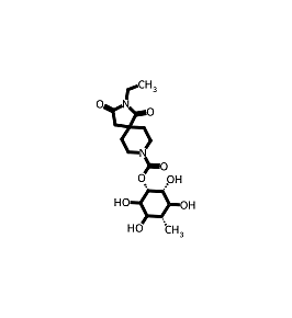 CCN1C(=O)CC2(CCN(C(=O)O[C@H]3C(O)C(O)[C@@H](C)C(O)[C@H]3O)CC2)C1=O